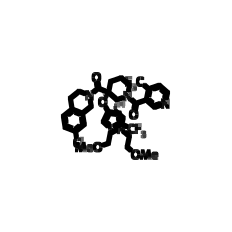 COCCN(CCOC)CC[C@H]1N(C(=O)c2cnccc2C(F)(F)F)CCC[C@@]1(Oc1csc(C(F)(F)F)c1)C(=O)N1CCc2ccc(Cl)cc2C1